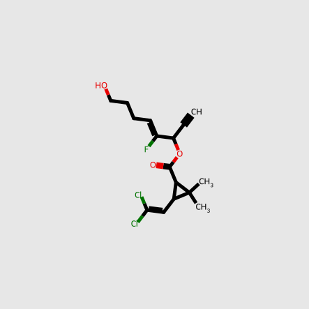 C#CC(OC(=O)C1C(C=C(Cl)Cl)C1(C)C)/C(F)=C/CCCO